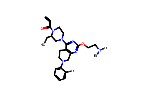 C=CC(=O)N1CCN(c2nc(OCCN(CC)CC)nc3c2CCN(c2ccccc2CC)C3)CC1CC#N